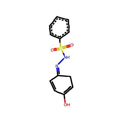 O=S(=O)(NN=C1C=CC(O)=CC1)c1ccccc1